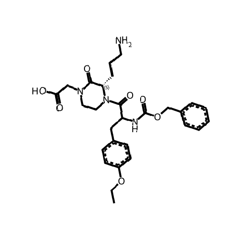 CCOc1ccc(CC(NC(=O)OCc2ccccc2)C(=O)N2CCN(CC(=O)O)C(=O)[C@@H]2CCCN)cc1